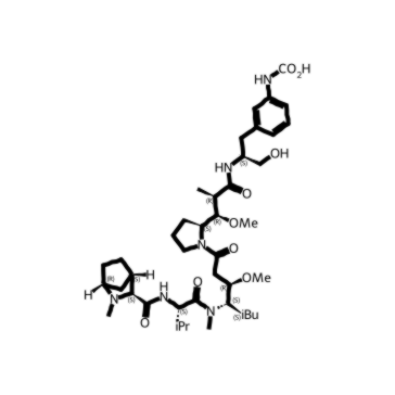 CC[C@H](C)[C@@H]([C@@H](CC(=O)N1CCC[C@H]1[C@H](OC)[C@@H](C)C(=O)N[C@H](CO)Cc1cccc(NC(=O)O)c1)OC)N(C)C(=O)[C@@H](NC(=O)[C@@H]1[C@H]2CC[C@H](C2)N1C)C(C)C